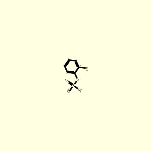 O=P(O)(Cl)Oc1ccccc1Br